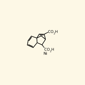 O=C(O)C1=CC23C=CC=CC2C(C(=O)O)C1C3.[Ni]